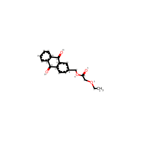 CCOCC(=O)OCc1ccc2c(c1)C(=O)c1ccccc1C2=O